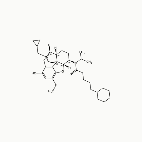 COc1cc(O)c2c3c1O[C@H]1[C@H](N(C(=O)CCCCC4CCCCC4)C(C)C)CC[C@H]4[C@@H](C2)N(CC2CC2)CC[C@@]341